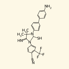 CC1(C)C(=N)N(c2ccc(C#N)c(C(F)(F)F)c2)C(S)N1c1ccc(-c2ccc(N)cc2)cc1